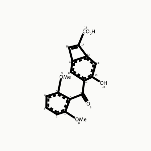 COc1cccc(OC)c1C(=O)c1cc2c(cc1O)C(C(=O)O)=C2